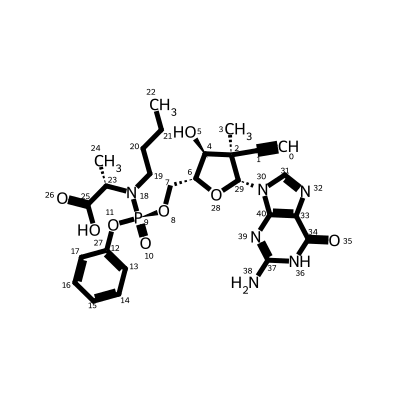 C#C[C@]1(C)[C@H](O)[C@@H](CO[P@@](=O)(Oc2ccccc2)N(CCCC)[C@@H](C)C(=O)O)O[C@H]1n1cnc2c(=O)[nH]c(N)nc21